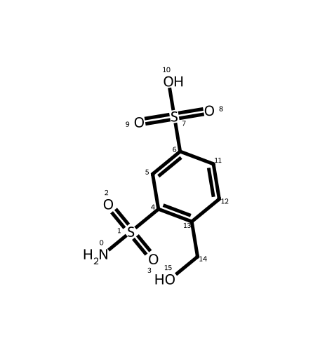 NS(=O)(=O)c1cc(S(=O)(=O)O)ccc1CO